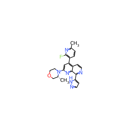 Cc1ccc(-c2cc(N3CCOC[C@H]3C)nc3c(-c4ccn[nH]4)nccc23)c(F)n1